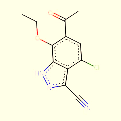 CCOc1c(C(C)=O)cc(Cl)c2c(C#N)n[nH]c12